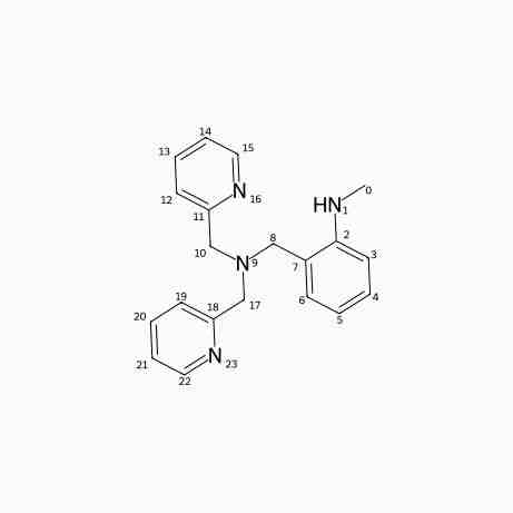 CNc1ccccc1CN(Cc1ccccn1)Cc1ccccn1